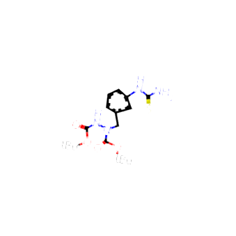 CC(C)(C)OC(=O)NN(Cc1cccc(NC(N)=S)c1)C(=O)OC(C)(C)C